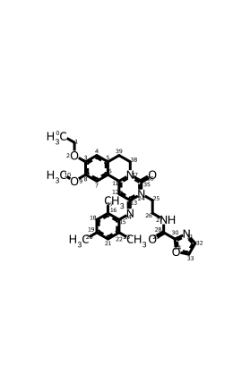 CCOc1cc2c(cc1OC)-c1c/c(=N\c3c(C)cc(C)cc3C)n(CCNC(=O)c3ncco3)c(=O)n1CC2